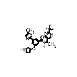 Cc1cnc(-c2cc(O[C@H]3CCNC3)cc(C(=O)NC(C)c3cnc(C(F)(F)F)nc3)c2)s1